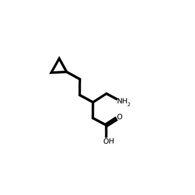 NCC(CCC1CC1)CC(=O)O